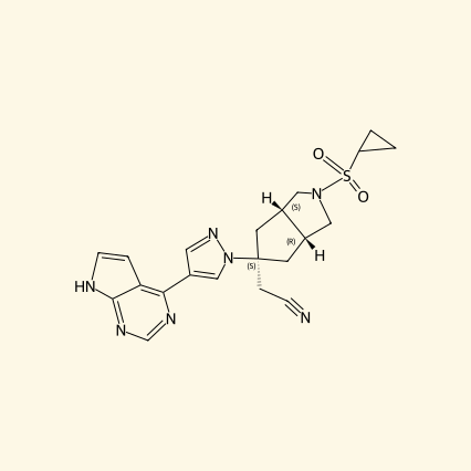 N#CC[C@@]1(n2cc(-c3ncnc4[nH]ccc34)cn2)C[C@H]2CN(S(=O)(=O)C3CC3)C[C@H]2C1